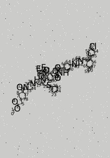 CCOC(=O)CC1CCC(C(=O)N2CCN(CC[C@H](CSc3ccccc3)Nc3ccc(S(=O)(=O)NC(=O)c4ccc(N5CCN(CC6=C(c7ccc(Cl)cc7)CCC(C)(C)C6)CC5)cc4)cc3S(=O)(=O)C(F)(F)F)CC2)CC1